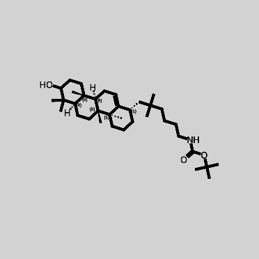 CC(C)(CCCCNC(=O)OC(C)(C)C)C[C@@H]1CCC[C@]2(C)C1=CC[C@@H]1[C@@]3(C)CCC(O)C(C)(C)[C@@H]3CC[C@]12C